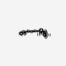 O=C1CCC(N2C(=O)C3CCCC(NCCOCCOCCOCCC(=O)OC4CCCCC4)C3C2=O)C(=O)N1